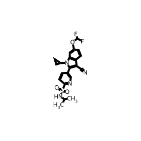 CC(C)NS(=O)(=O)c1ccc(-c2c(C#N)c3ccc(OC(F)F)cc3n2C2CC2)cn1